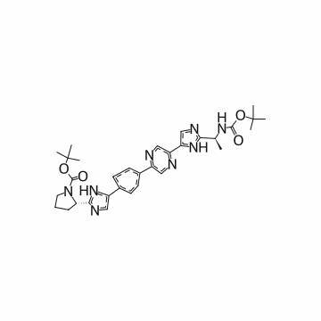 C[C@H](NC(=O)OC(C)(C)C)c1ncc(-c2cnc(-c3ccc(-c4cnc([C@@H]5CCCN5C(=O)OC(C)(C)C)[nH]4)cc3)cn2)[nH]1